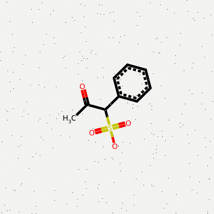 CC(=O)C(c1ccccc1)S([O])(=O)=O